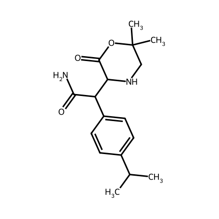 CC(C)c1ccc(C(C(N)=O)C2NCC(C)(C)OC2=O)cc1